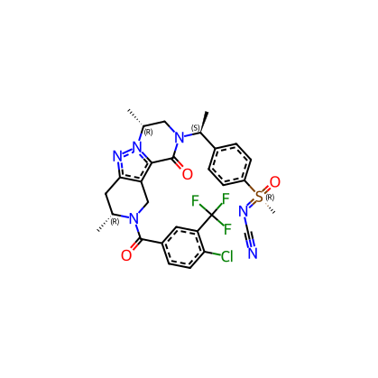 C[C@@H]1Cc2nn3c(c2CN1C(=O)c1ccc(Cl)c(C(F)(F)F)c1)C(=O)N([C@@H](C)c1ccc([S@@](C)(=O)=NC#N)cc1)C[C@H]3C